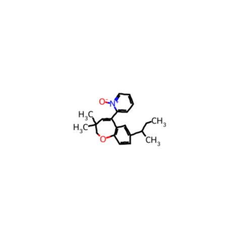 CCC(C)c1ccc2c(c1)C(c1cccc[n+]1[O-])=CC(C)(C)CO2